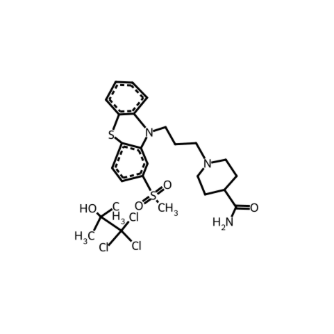 CC(C)(O)C(Cl)(Cl)Cl.CS(=O)(=O)c1ccc2c(c1)N(CCCN1CCC(C(N)=O)CC1)c1ccccc1S2